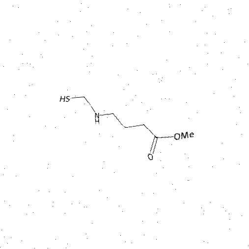 COC(=O)CCCNCS